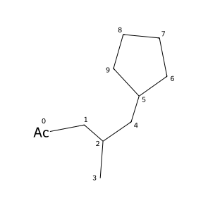 CC(=O)CC(C)CC1CCCC1